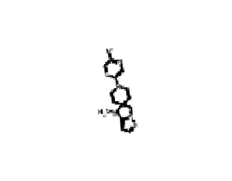 N[C@@H]1c2ccnn2CC12CCN(c1cnc(Br)cn1)CC2